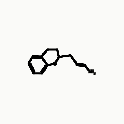 NC=CCC1CCc2ccccc2O1